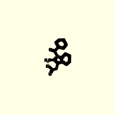 Cc1c(CC(=O)Cl)c2ccccc2n1C(=O)c1ccccc1